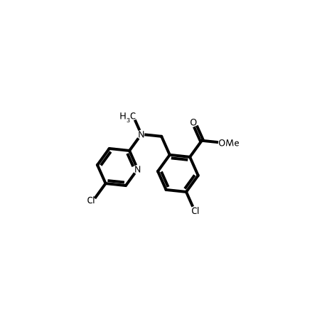 COC(=O)c1cc(Cl)ccc1CN(C)c1ccc(Cl)cn1